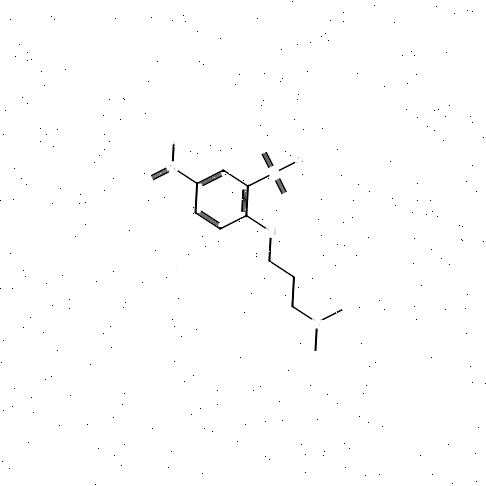 CN(C)CCCNc1ccc([N+](=O)[O-])cc1S(N)(=O)=O.Cl